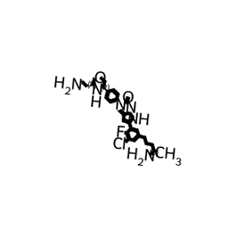 C[C@H](N)CCCc1cc(Cl)c(F)c(-c2cc3cn(-c4ccc([C@@H]5COC[C@@H](CCN)N5)cc4)c(=O)nc3[nH]2)c1